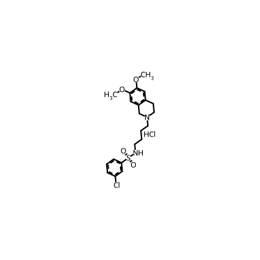 COc1cc2c(cc1OC)CN(CCCCNS(=O)(=O)c1cccc(Cl)c1)CC2.Cl